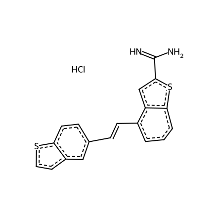 Cl.N=C(N)c1cc2c(C=Cc3ccc4sccc4c3)cccc2s1